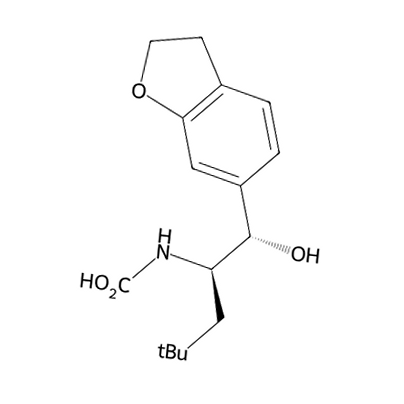 CC(C)(C)C[C@@H](NC(=O)O)[C@@H](O)c1ccc2c(c1)OCC2